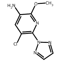 COc1nc(-n2nccn2)c(Cl)cc1N